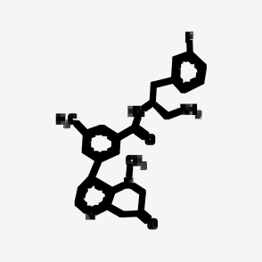 Cc1cc(C(=O)N[C@H](CN)Cc2cccc(F)c2)cc(-c2ccnc3c2N(C)CC(=O)C3)c1